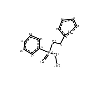 CCOP(=S)(SCc1ccccc1)c1ccccc1